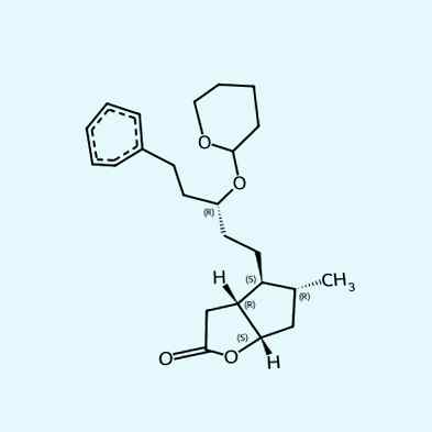 C[C@@H]1C[C@@H]2OC(=O)C[C@@H]2[C@H]1CC[C@H](CCc1ccccc1)OC1CCCCO1